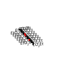 CCOC(=O)CCC(CC(CC(CC(CC(CC(CC(CC(CC(CC(CC(CC(CC(CC(CC)C(=O)OCC)C(=O)OCC)C(=O)OCC)C(=O)OCC)C(=O)OCC)C(=O)OCC)C(=O)OCC)C(=O)OCC)C(=O)OCC)C(=O)OCC)C(=O)OCC)C(=O)OCC)C(=O)OCC)C(=O)OCC